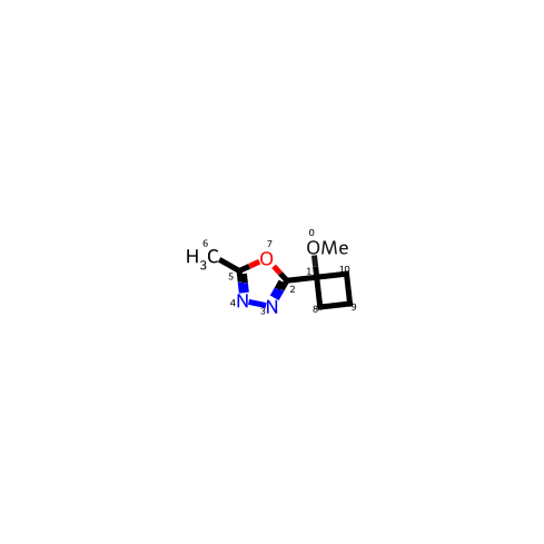 COC1(c2nnc(C)o2)CCC1